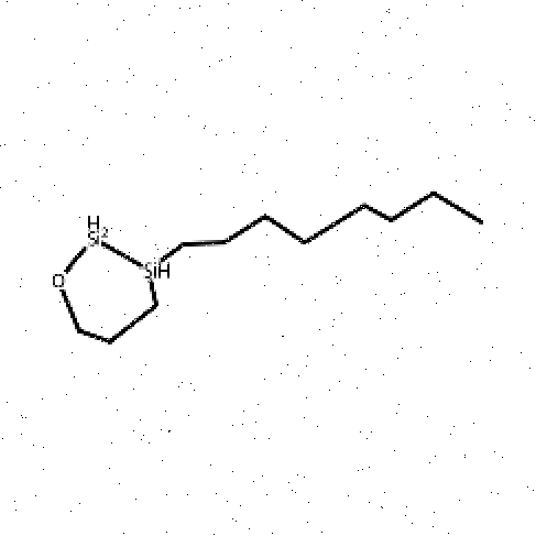 CCCCCCCC[SiH]1CCCO[SiH2]1